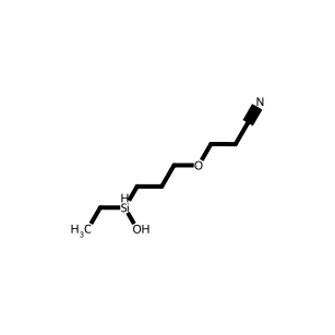 CC[SiH](O)CCCOCCC#N